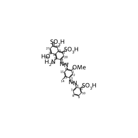 COc1cc(/N=N/c2ccccc2S(=O)(=O)O)c(C)cc1/N=N/c1cc(S(=O)(=O)O)c2cc(S(=O)(=O)O)cc(O)c2c1N